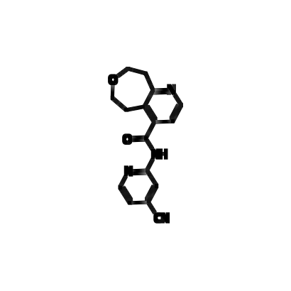 N#Cc1ccnc(NC(=O)c2ccnc3c2CCOCC3)c1